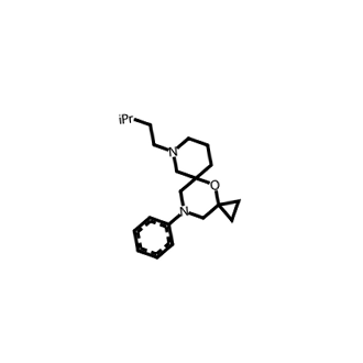 CC(C)CCN1CCCC2(C1)CN(c1ccccc1)CC1(CC1)O2